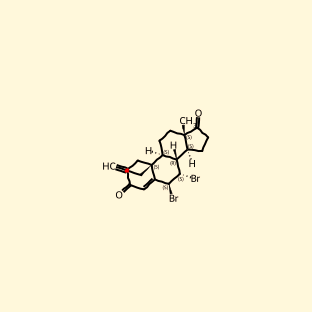 C#CC[C@]12CCC(=O)C=C1[C@H](Br)[C@@H](Br)[C@@H]1[C@@H]2CC[C@]2(C)C(=O)CC[C@@H]12